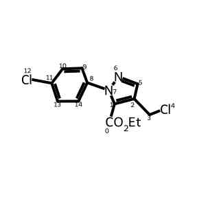 CCOC(=O)c1c(CCl)cnn1-c1ccc(Cl)cc1